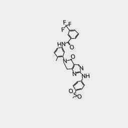 Cc1ccc(NC(=O)c2cccc(C(F)(F)F)c2)cc1N1CCc2nc(Nc3ccc(S(C)(=O)=O)cc3)ncc2C1=O